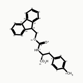 Cc1ccc(C[C@H](NC(=O)OCC2c3ccccc3-c3ccccc32)C(=O)O)cc1